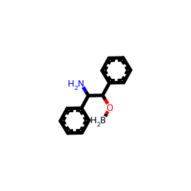 BOC(c1ccccc1)C(N)c1ccccc1